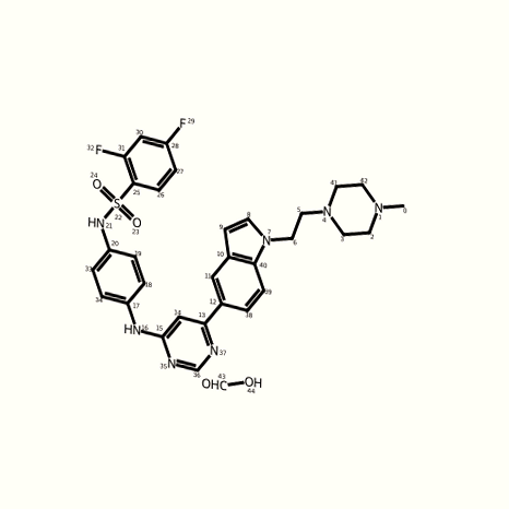 CN1CCN(CCn2ccc3cc(-c4cc(Nc5ccc(NS(=O)(=O)c6ccc(F)cc6F)cc5)ncn4)ccc32)CC1.O=CO